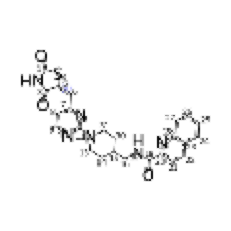 O=C1NC(=O)/C(=C\c2ccnc(N3CCC(CNC(=O)c4ccc5ccccc5n4)CC3)n2)S1